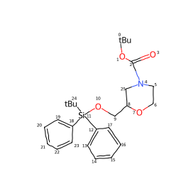 CC(C)(C)OC(=O)N1CCOC(CO[Si](c2ccccc2)(c2ccccc2)C(C)(C)C)C1